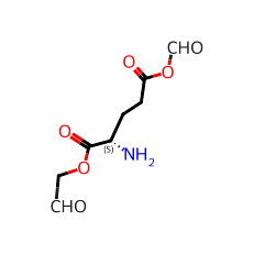 N[C@@H](CCC(=O)OC=O)C(=O)OCC=O